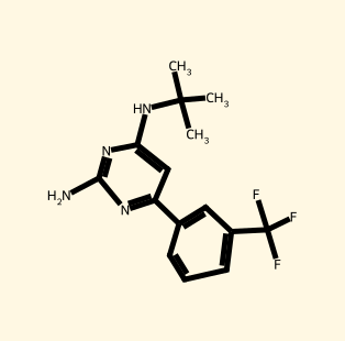 CC(C)(C)Nc1cc(-c2cccc(C(F)(F)F)c2)nc(N)n1